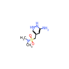 CN(C)S(=O)(=O)CC1=CNNC(N)=C1